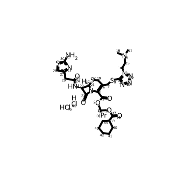 CC(C)C(OC(=O)C1=C(CSc2nnnn2CCN(C)C)CS[C@@H]2[C@H](NC(=O)Cc3csc(N)n3)C(=O)N12)OC(=O)C1CCCCC1.Cl.Cl